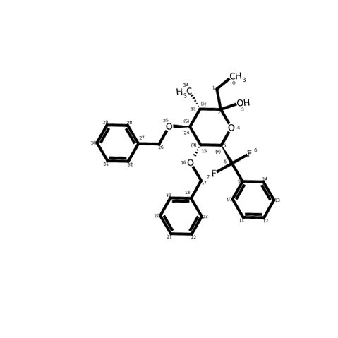 CCC1(O)O[C@@H](C(F)(F)c2ccccc2)[C@H](OCc2ccccc2)[C@@H](OCc2ccccc2)[C@@H]1C